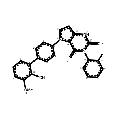 COc1cccc(-c2ccc(-n3ccc4[nH]c(=O)n(-c5ccccc5F)c(=O)c43)cc2)c1O